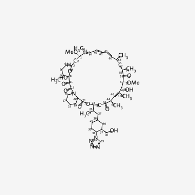 CO[C@H]1C[C@@H]2CC[C@@H](C)[C@@](O)(O2)C(=O)C(=O)N2CCCCC2C(=O)O[C@H]([C@H](C)CC2CC[C@H](n3cnnn3)[C@H](CO)C2)CC(=O)[C@H](C)/C=C(\C)[C@@H](O)[C@@H](OC)C(=O)[C@H](C)C[C@H](C)/C=C/C=C/C=C/1C